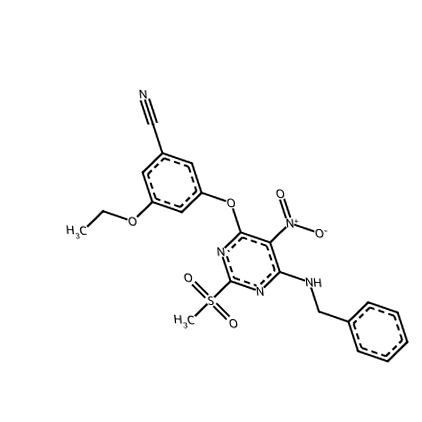 CCOc1cc(C#N)cc(Oc2nc(S(C)(=O)=O)nc(NCc3ccccc3)c2[N+](=O)[O-])c1